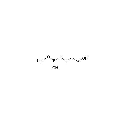 COP(O)COCCO